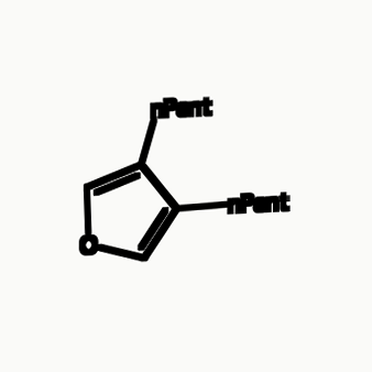 CCCCCc1cocc1CCCCC